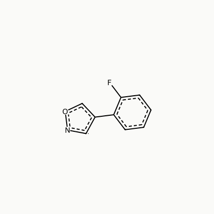 Fc1ccccc1-c1[c]noc1